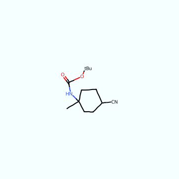 CC1(NC(=O)OC(C)(C)C)CCC(C#N)CC1